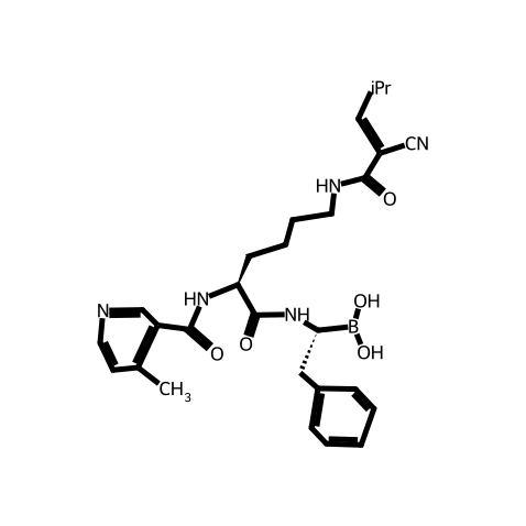 Cc1ccncc1C(=O)N[C@@H](CCCCNC(=O)C(C#N)=CC(C)C)C(=O)N[C@@H](Cc1ccccc1)B(O)O